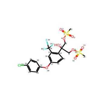 CS(=O)(=O)OCC(O)(COS(C)(=O)=O)c1ccc(Oc2ccc(Cl)cc2)cc1C(F)(F)F